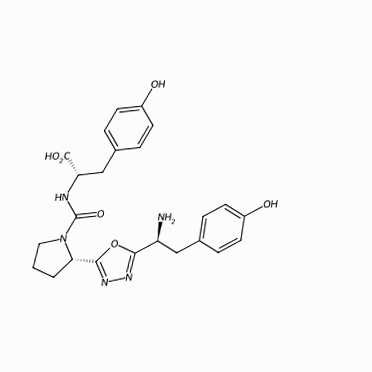 N[C@@H](Cc1ccc(O)cc1)c1nnc([C@@H]2CCCN2C(=O)N[C@@H](Cc2ccc(O)cc2)C(=O)O)o1